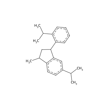 CC(C)c1ccc2c(c1)C(c1ccccc1C(C)C)CC2C